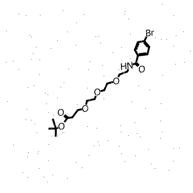 CC(C)(C)OC(=O)CCOCCOCCOCCNC(=O)c1ccc(Br)cc1